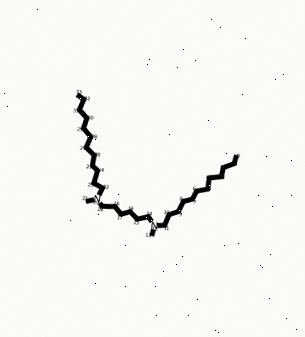 CCCCCCCCCCCCN(C)CCCCCCN(C)CCCCCCCCCCCC